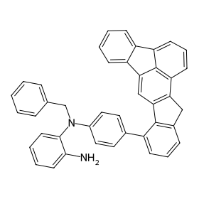 Nc1ccccc1N(Cc1ccccc1)c1ccc(-c2cccc3c2-c2cc4c5c(cccc5c2C3)-c2ccccc2-4)cc1